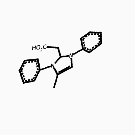 CC1=CN(c2ccccc2)C(CC(=O)O)N1c1ccccc1